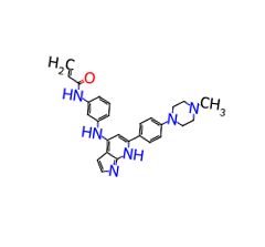 C=CC(=O)Nc1cccc(Nc2cc(-c3ccc(N4CCN(C)CC4)cc3)[nH]c3nccc2-3)c1